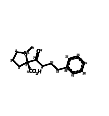 CN1CCC[C@@]1(C(=O)O)C(=O)CCCc1ccccc1